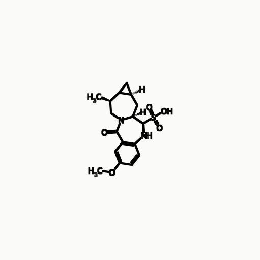 COc1ccc2c(c1)C(=O)N1C[C@@H](C)C3C[C@H]3C[C@H]1C(S(=O)(=O)O)N2